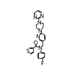 O=C(c1ccsc1)N(Cc1ccc(N2CCN(c3ncccn3)CC2)nc1)c1ccc(F)cc1